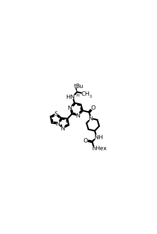 CCCCCCC(=O)NC1CCN(C(=O)c2cc(N[C@H](C)C(C)(C)C)nc(-c3cnn4ccsc34)n2)CC1